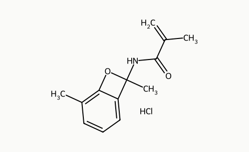 C=C(C)C(=O)NC1(C)Oc2c(C)cccc21.Cl